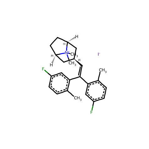 Cc1ccc(F)cc1C(=C[C@H]1C[C@H]2CC[C@@H](C1)[N+]2(C)C)c1cc(F)ccc1C.[I-]